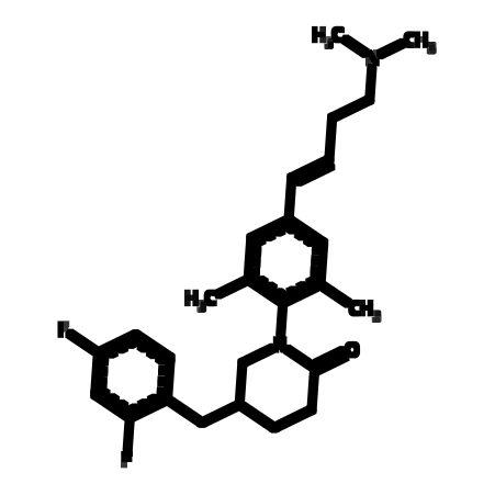 Cc1cc(C=CCCN(C)C)cc(C)c1N1CC(Cc2ccc(F)cc2F)CCC1=O